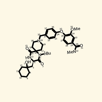 CCCCN1C(=O)[C@@H](CC2(O)CCCCC2)NC(=O)C12CCN(Cc1ccc(Oc3ccc(C(=O)NC)cc3OC)cc1)CC2